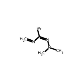 C=N/C(=N\N(C)C)C(C)C